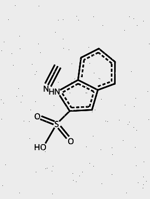 C#N.O=S(=O)(O)c1cc2ccccc2[nH]1